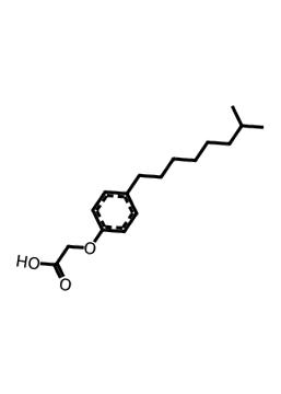 CC(C)CCCCCCc1ccc(OCC(=O)O)cc1